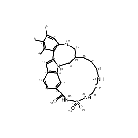 Cc1cc2c(c(C)c1C)-c1cc3ccc4cc3n1CC(CCCNCCNS(=O)(=O)NC4=O)CO2